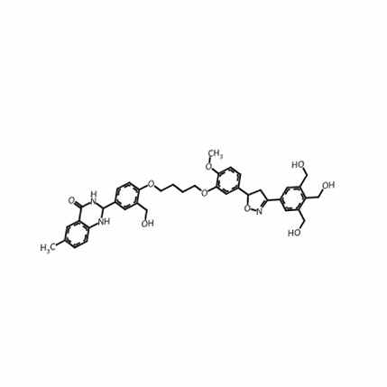 COc1ccc(C2CC(c3cc(CO)c(CO)c(CO)c3)=NO2)cc1OCCCCOc1ccc(C2NC(=O)c3cc(C)ccc3N2)cc1CO